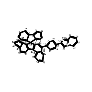 c1ccc2c(c1)-c1ccccc1C21c2cc(-c3ccc(-c4cn5ccccc5n4)cc3)c3ccccc3c2-c2ccc3ccccc3c21